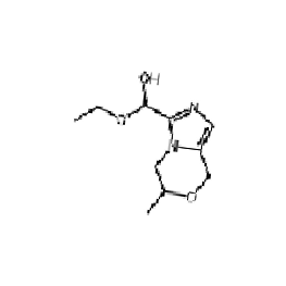 CCOC(O)c1ncc2n1CC(C)OC2